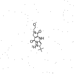 [2H]N1C(C(C)(C)C)C=C2NC3=C(CN([C@H](C)COC)C3=O)C(=O)N21